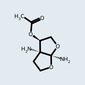 CC(=O)O[C@H]1CO[C@@]2(N)OCC[C@@]12N